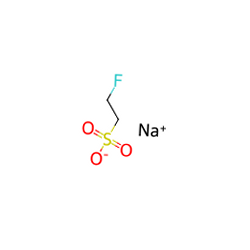 O=S(=O)([O-])CCF.[Na+]